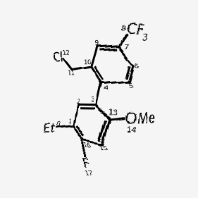 CCc1cc(-c2ccc(C(F)(F)F)cc2CCl)c(OC)cc1F